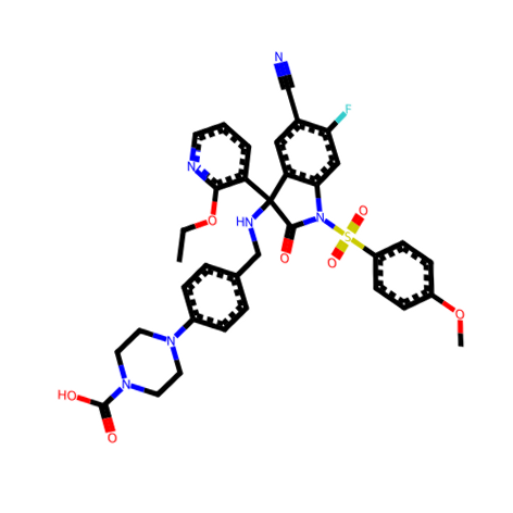 CCOc1ncccc1C1(NCc2ccc(N3CCN(C(=O)O)CC3)cc2)C(=O)N(S(=O)(=O)c2ccc(OC)cc2)c2cc(F)c(C#N)cc21